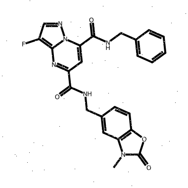 Cn1c(=O)oc2ccc(CNC(=O)c3cc(C(=O)NCc4ccccc4)n4ncc(F)c4n3)cc21